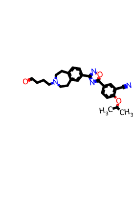 CC(C)Oc1ccc(-c2nc(-c3ccc4c(c3)CCN(CCCC=O)CC4)no2)cc1C#N